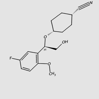 COc1ccc(F)cc1[C@H](CO)O[C@H]1CC[C@@H](C#N)CC1